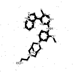 COc1cc(N2CC3CN(CCO)CC(C2)O3)ccc1Nc1ncc(C)c(-c2cnn3ccccc23)n1